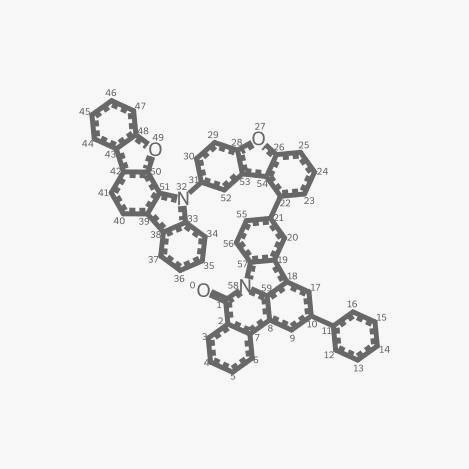 O=c1c2ccccc2c2cc(-c3ccccc3)cc3c4cc(-c5cccc6oc7ccc(-n8c9ccccc9c9ccc%10c%11ccccc%11oc%10c98)cc7c56)ccc4n1c23